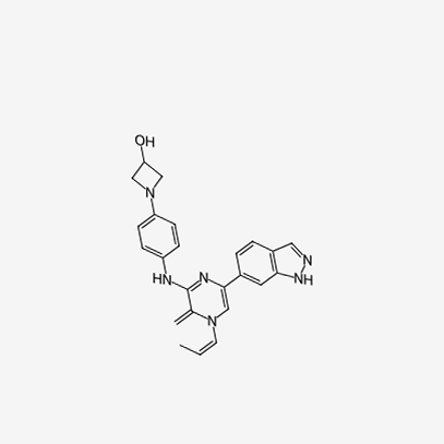 C=C1C(Nc2ccc(N3CC(O)C3)cc2)=NC(c2ccc3cn[nH]c3c2)=CN1/C=C\C